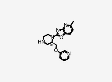 Cc1ccc2oc(N3CCNC[C@@H]3COc3cccnc3)nc2n1